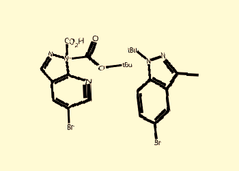 CC(C)(C)OC(=O)[N+]1(C(=O)O)N=Cc2cc(Br)cnc21.Cc1nn(C(C)(C)C)c2ccc(Br)cc12